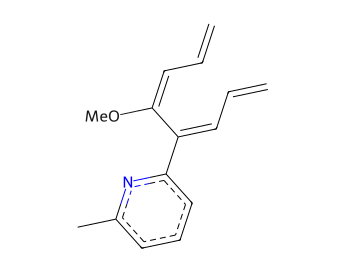 C=C/C=C(\C(=C/C=C)OC)c1cccc(C)n1